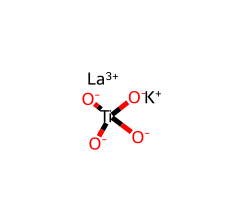 [K+].[La+3].[O-][Ti]([O-])([O-])[O-]